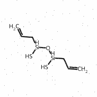 C=CC[SiH](S)O[SiH](S)CC=C